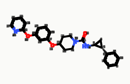 O=C(NC1C[C@@H]1c1ccccc1)N1CCC(Oc2cccc(Oc3ccccn3)c2)CC1